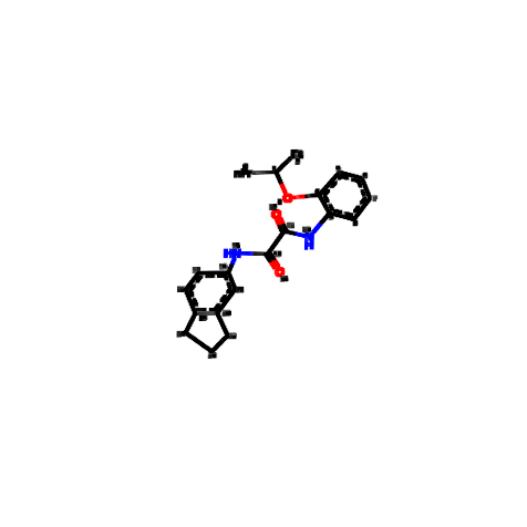 CCCC(CC)Oc1ccccc1NC(=O)C(=O)Nc1ccc2c(c1)CCC2